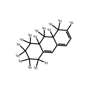 [2H]C1=CC=C2C=C3C([2H])([2H])C([2H])([2H])C([2H])([2H])C([2H])([2H])C3([2H])C([2H])([2H])C2([2H])C1([2H])[2H]